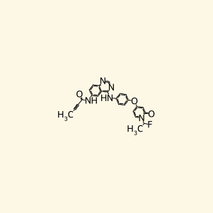 CC#CC(=O)Nc1ccc2ncnc(Nc3ccc(Oc4ccn(C(C)F)c(=O)c4)cc3)c2c1